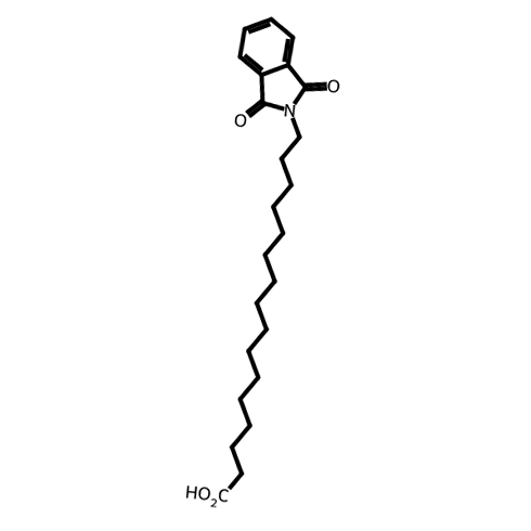 O=C(O)CCCCCCCCCCCCCCCN1C(=O)c2ccccc2C1=O